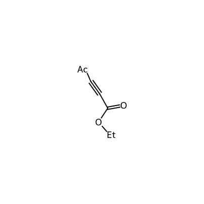 CCOC(=O)C#CC(C)=O